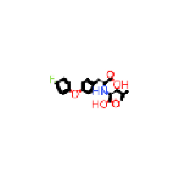 CC(C)C[C@H](N[C@@H](Cc1ccc(Oc2ccc(F)cc2)cc1)C(=O)O)C(=O)O